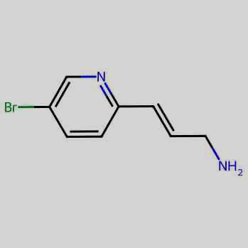 NCC=Cc1ccc(Br)cn1